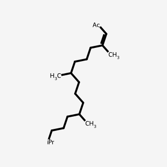 CC(=O)C=C(C)CCCC(C)CCCC(C)CCCC(C)C